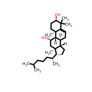 CC(C)CCC[C@@H](C)[C@H]1CC[C@H]2[C@@H]3CC=C4C(C)(C)[C@H](O)CC[C@]4(C)[C@H]3[C@H](O)C[C@]12C